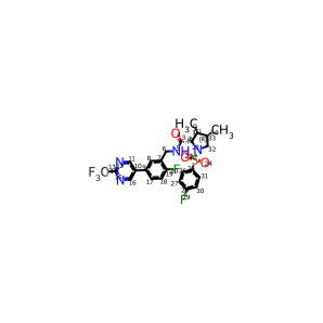 C[C@@H]1[C@@H](C(=O)NCc2cc(-c3cnc(C(F)(F)F)nc3)ccc2F)N(S(=O)(=O)c2ccc(F)cc2)C[C@@H]1C